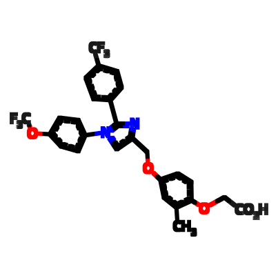 Cc1cc(OCc2cn(-c3ccc(OC(F)(F)F)cc3)c(-c3ccc(C(F)(F)F)cc3)n2)ccc1OCC(=O)O